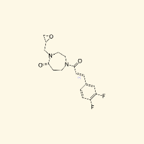 O=C(/C=C/c1ccc(F)c(F)c1)N1CCC(=O)N(CC2CO2)CC1